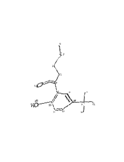 CSCCC(=O)c1cc(C(C)(C)C)ccc1O